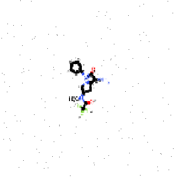 CN(C(=O)C(F)(F)F)C1Cc2c(N)c(=O)n(-c3ccccc3)n2C1